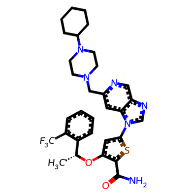 C[C@@H](Oc1cc(-n2cnc3cnc(CN4CCN(C5CCCCC5)CC4)cc32)sc1C(N)=O)c1ccccc1C(F)(F)F